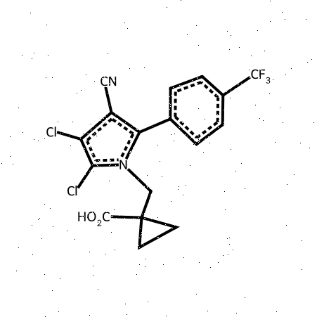 N#Cc1c(Cl)c(Cl)n(CC2(C(=O)O)CC2)c1-c1ccc(C(F)(F)F)cc1